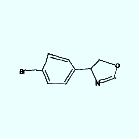 Brc1ccc(C2CO[C]=N2)cc1